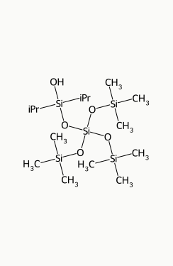 CC(C)[Si](O)(O[Si](O[Si](C)(C)C)(O[Si](C)(C)C)O[Si](C)(C)C)C(C)C